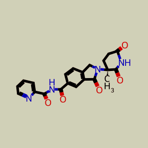 C[C@]1(N2Cc3ccc(C(=O)NC(=O)c4ccccn4)cc3C2=O)CCC(=O)NC1=O